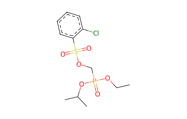 CCOP(=O)(COS(=O)(=O)c1ccccc1Cl)OC(C)C